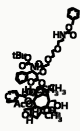 CC(=O)O[C@@]12CO[C@@H]1C[C@H](C)[C@@]1(C)C(=O)[C@H](CO)C3=C(C)[C@@H](OC(=O)[C@H](OC(=O)COCCOCCNC(=O)OCc4ccccc4)[C@@H](NC(=O)OC(C)(C)C)c4ccccc4)C[C@@](O)([C@@H](OC(=O)c4ccccc4)[C@H]21)C3(C)C